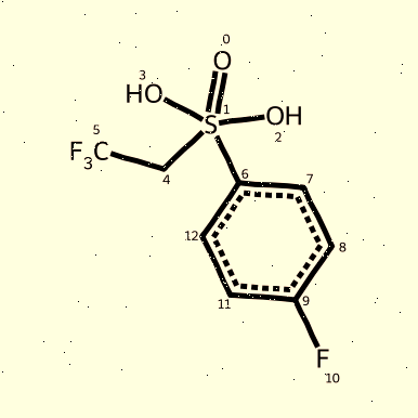 O=S(O)(O)(CC(F)(F)F)c1ccc(F)cc1